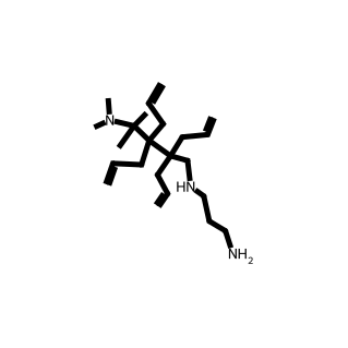 C=CCC(CC=C)(CNCCCN)C(CC=C)(CC=C)C(C)(C)N(C)C